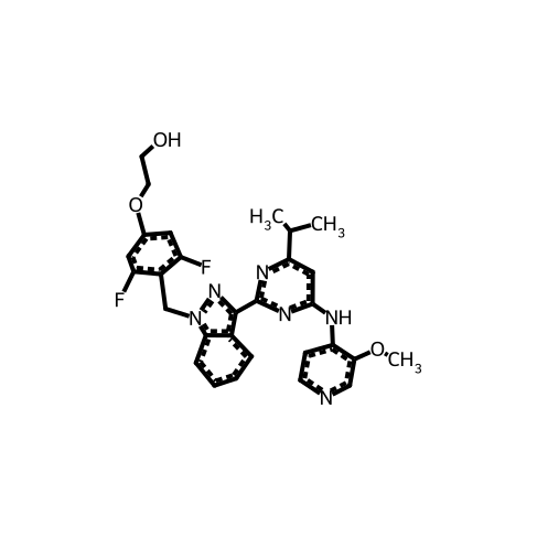 COc1cnccc1Nc1cc(C(C)C)nc(-c2nn(Cc3c(F)cc(OCCO)cc3F)c3ccccc23)n1